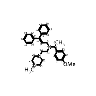 COc1ccc([C@H](C)N(CC=C(c2ccccc2)c2ccccc2)CCN2CCN(C)CC2)cc1